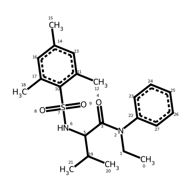 CCN(C(=O)C(NS(=O)(=O)c1c(C)cc(C)cc1C)C(C)C)c1ccccc1